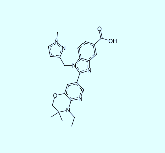 CCN1c2ncc(-c3nc4cc(C(=O)O)ccc4n3Cc3ccn(C)n3)cc2OCC1(C)C